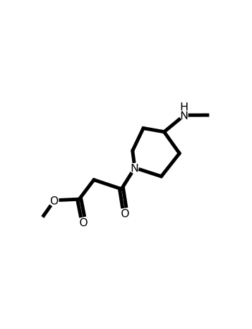 CNC1CCN(C(=O)CC(=O)OC)CC1